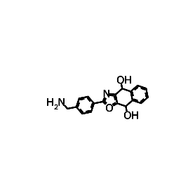 NCc1ccc(-c2nc3c(o2)C(O)c2ccccc2C3O)cc1